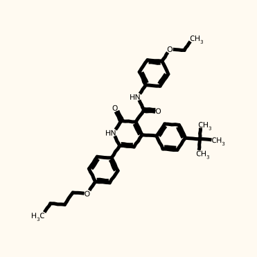 CCCCOc1ccc(-c2cc(-c3ccc(C(C)(C)C)cc3)c(C(=O)Nc3ccc(OCC)cc3)c(=O)[nH]2)cc1